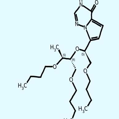 CCCCOC[C@@H](O[C@H](COCCCC)[C@H](C)OCCCC)c1ccc2c(=O)[nH]cnn12